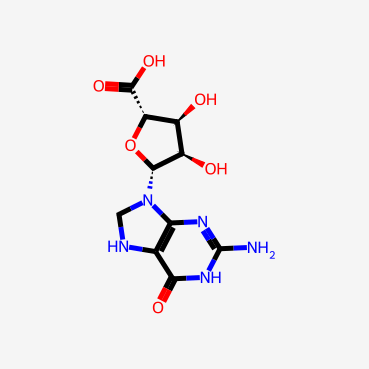 Nc1nc2c(c(=O)[nH]1)NCN2[C@@H]1O[C@H](C(=O)O)[C@@H](O)[C@H]1O